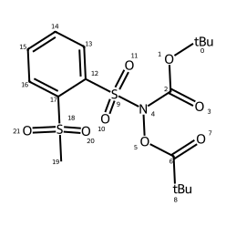 CC(C)(C)OC(=O)N(OC(=O)C(C)(C)C)S(=O)(=O)c1ccccc1S(C)(=O)=O